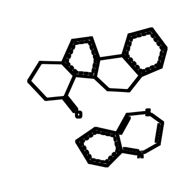 C1=CSC=c2ccccc2=N1.O=C1CCCc2ccc3c(c21)CCc1ccccc1-3